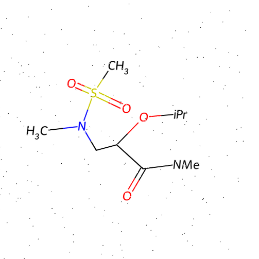 CNC(=O)C(CN(C)S(C)(=O)=O)OC(C)C